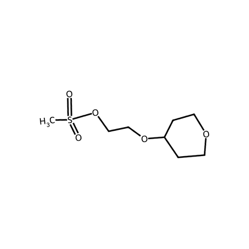 CS(=O)(=O)OCCOC1CCOCC1